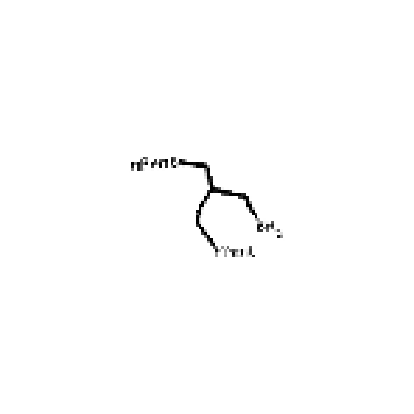 BCC(CCCCCC)CCCCCC